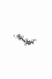 CC(C)OC(=O)c1ccc2c(c1)C(=O)N(CCCCC(=O)NS(=O)(=O)C(F)(F)F)C2=O